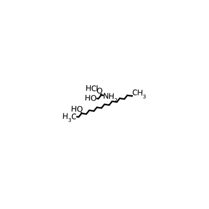 CCCCCCCCCCCCCCC(O)CC.Cl.NC(=O)CO